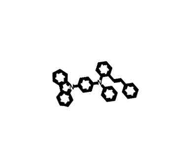 C(=Cc1ccccc1N(c1ccccc1)c1ccc(-n2c3ccccc3c3ccccc32)cc1)c1ccccc1